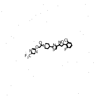 O=C(COc1cnc(C(F)(F)F)cn1)N1CCC(c2nc(C3=NOC(c4c(F)cccc4Cl)C3)cs2)CC1